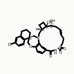 C[C@]12CC[C@H]1CN1C[C@@]3(CCCc4cc(Cl)ccc43)COc3ccc(cc31)C(=O)NS(=O)(=O)CC/C=C/C[C@H]2O